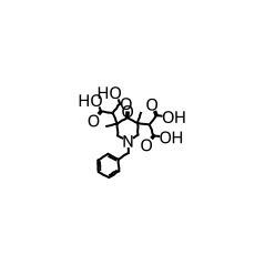 CC1(C(C(=O)O)C(=O)O)CN(Cc2ccccc2)CC(C)(C(C(=O)O)C(=O)O)C1=O